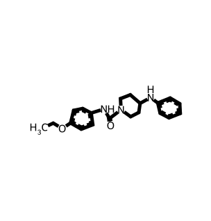 CCOc1ccc(NC(=O)N2CCC(Nc3ccccc3)CC2)cc1